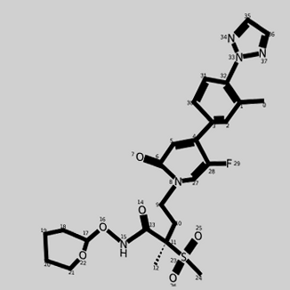 Cc1cc(-c2cc(=O)n(CC[C@](C)(C(=O)NOC3CCCCO3)S(C)(=O)=O)cc2F)ccc1-n1nccn1